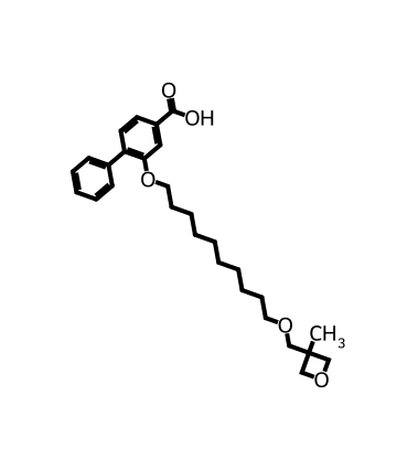 CC1(COCCCCCCCCCCOc2cc(C(=O)O)ccc2-c2ccccc2)COC1